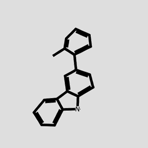 Cc1ccccc1-c1ccc2c(c1)-c1ccccc1[N]2